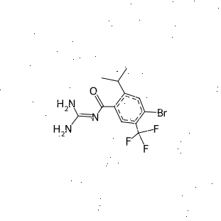 CC(C)c1cc(Br)c(C(F)(F)F)cc1C(=O)N=C(N)N